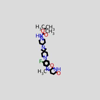 CN(c1ccc(N2CCC3(CC2)CN(C2CCN(NC(=O)OC(C)(C)C)CC2)C3)c(F)c1)C1CCC(=O)NC1=O